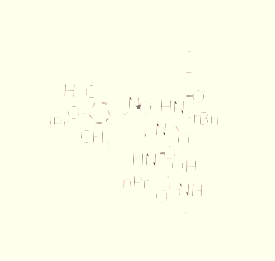 CCC[C@H](NC(=O)[C@@H]1C[C@]2(CC(c3cc(C)c(OC(C)C)c(C)c3)=NO2)CN1C(=O)[C@@H](NC(=O)CC1CCCCC1)C(C)(C)C)C(O)C(=O)NC1CC1